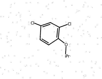 C[C](C)Oc1ccc(Cl)cc1Cl